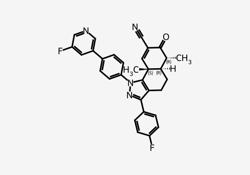 C[C@H]1C(=O)C(C#N)=C[C@@]2(C)c3c(c(-c4ccc(F)cc4)nn3-c3ccc(-c4cncc(F)c4)cc3)CC[C@H]12